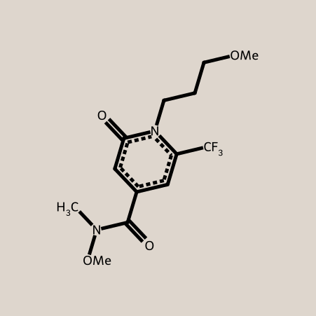 COCCCn1c(C(F)(F)F)cc(C(=O)N(C)OC)cc1=O